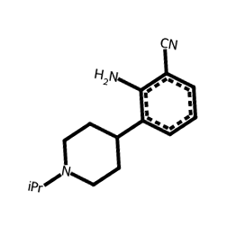 CC(C)N1CCC(c2cccc(C#N)c2N)CC1